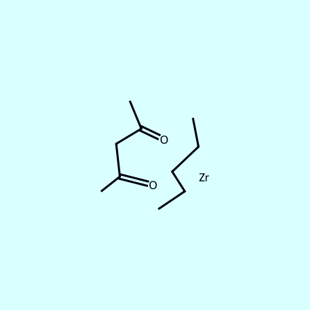 CC(=O)CC(C)=O.CCCCC.[Zr]